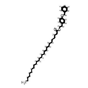 CCCCCCCCCCCCCCCCCCCCCCCCCCC(=O)OCCc1ccc(OCc2ccccc2)cc1